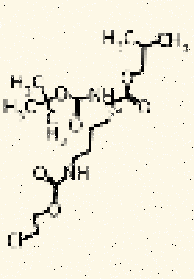 CC(C)COC(=O)[C@H](CCCCNC(=O)OCCCl)NC(=O)OC(C)(C)C